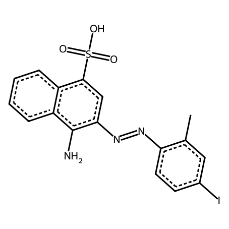 Cc1cc(I)ccc1N=Nc1cc(S(=O)(=O)O)c2ccccc2c1N